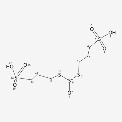 O=S(=O)(O)CCCS[S+]([O-])SCCCS(=O)(=O)O